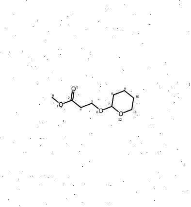 COC(=O)CCOC1CCCCO1